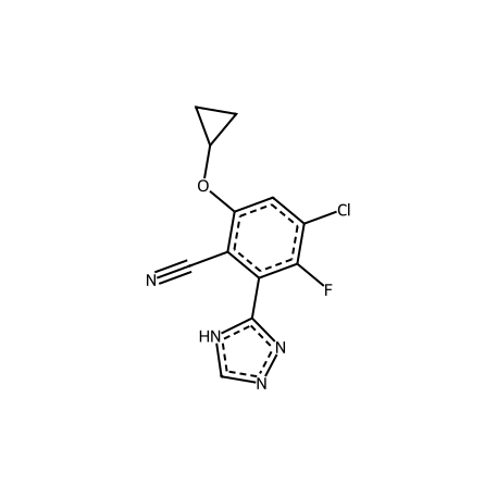 N#Cc1c(OC2CC2)cc(Cl)c(F)c1-c1nnc[nH]1